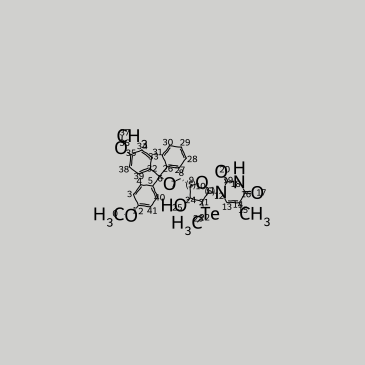 COc1ccc(C(OC[C@@H]2O[C@H](n3cc(C)c(=O)[nH]c3=O)C([Te]C)C2O)(c2ccccc2)c2ccc(OC)cc2)cc1